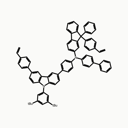 C=Cc1ccc(-c2ccc3c(c2)c2cc(-c4ccc(N(c5ccc(-c6ccccc6)cc5)c5ccc6c(c5)C(c5ccccc5)(c5ccc(C=C)cc5)c5ccccc5-6)cc4)ccc2n3-c2cc(C(C)(C)C)cc(C(C)(C)C)c2)cc1